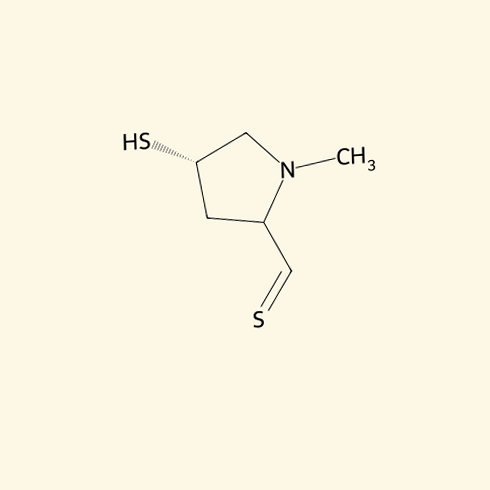 CN1C[C@@H](S)CC1C=S